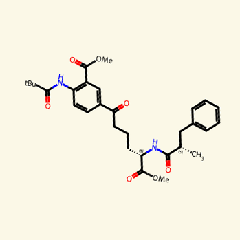 COC(=O)c1cc(C(=O)CCC[C@H](NC(=O)[C@@H](C)Cc2ccccc2)C(=O)OC)ccc1NC(=O)C(C)(C)C